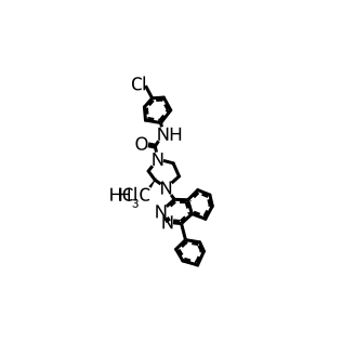 C[C@H]1CN(C(=O)Nc2ccc(Cl)cc2)CCN1c1nnc(-c2ccccc2)c2ccccc12.Cl